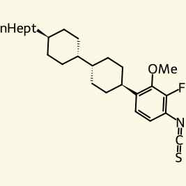 CCCCCCC[C@H]1CC[C@H]([C@H]2CC[C@H](c3ccc(N=C=S)c(F)c3OC)CC2)CC1